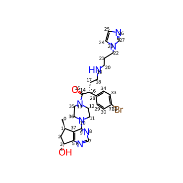 C[C@@H]1C[C@@H](O)c2ncnc(N3CCN(C(=O)[C@H](CCNCCCn4ccnc4)c4ccc(Br)cc4)CC3)c21